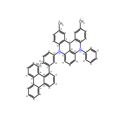 Cc1ccc2c(c1)B1c3cc(C)ccc3N(c3ccc(C)c(-c4cccc5c6ccccc6c6ccccc6c45)c3)c3cccc(c31)N2c1ccccc1